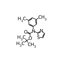 Cc1cc(C)cc(N(C(=O)OC(C)(C)C)c2nccs2)c1